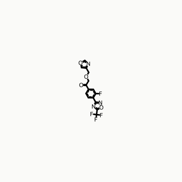 O=C(COCc1cocn1)c1ccc(-c2noc(C(F)(F)F)n2)c(F)c1